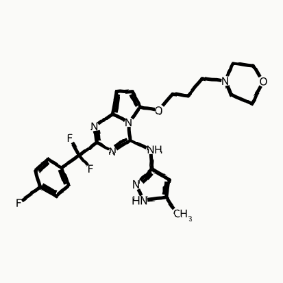 Cc1cc(Nc2nc(C(F)(F)c3ccc(F)cc3)nc3ccc(OCCCN4CCOCC4)n23)n[nH]1